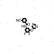 N#Cc1cccc(C(=O)Nc2cc(F)c(F)c(Oc3cncnc3)c2)c1